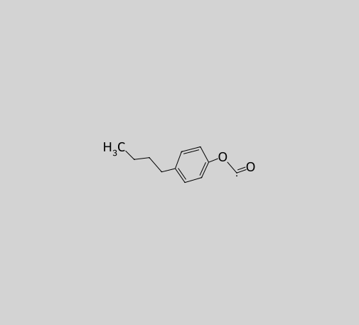 CCCCc1ccc(O[C]=O)cc1